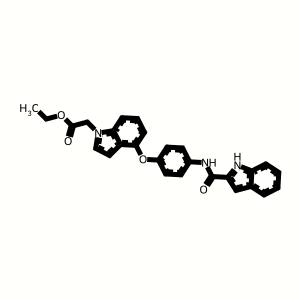 CCOC(=O)Cn1ccc2c(Oc3ccc(NC(=O)c4cc5ccccc5[nH]4)cc3)cccc21